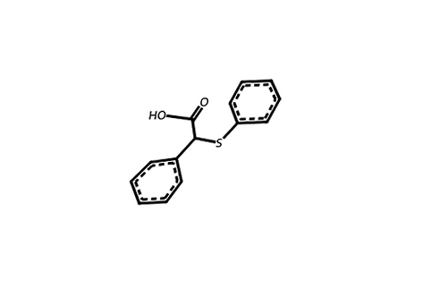 O=C(O)C(Sc1ccccc1)c1ccccc1